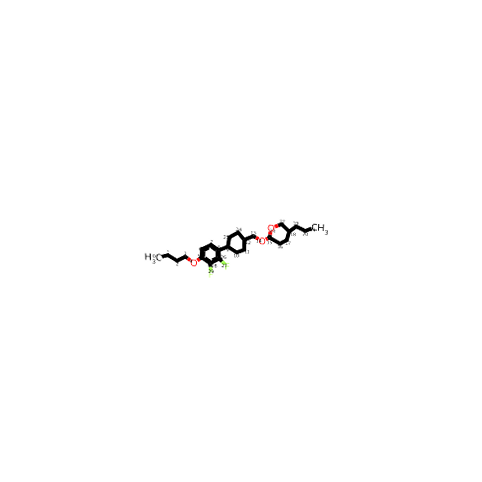 CCCCOc1ccc(C2CCC(COC3CCC(CCC)CO3)CC2)c(F)c1F